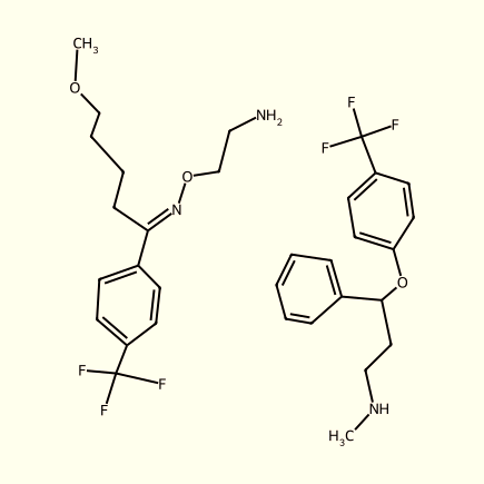 CNCCC(Oc1ccc(C(F)(F)F)cc1)c1ccccc1.COCCCC/C(=N\OCCN)c1ccc(C(F)(F)F)cc1